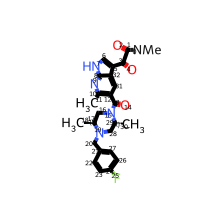 CNC(=O)C(=O)c1c[nH]c2nc(C)c(C(=O)N3C[C@H](C)N(Cc4ccc(F)cc4)C[C@H]3C)cc12